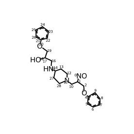 O=NC(COc1ccccc1)CN1CCC(NCC(O)COc2ccccc2)CC1